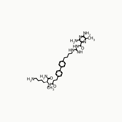 Cc1nc(C(=O)NC(=N)NCCCCc2ccc(-c3ccc(CCC(=O)N(C)[C@@H](CCCCN)C(N)=O)cc3)cc2)c(N)nc1N